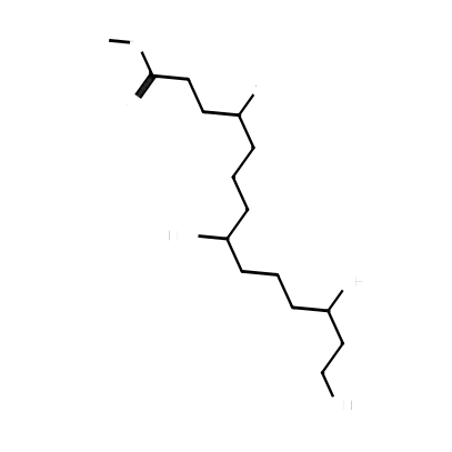 CCCC(C)CCCC(C)CCCC(C)CCC(=O)OC